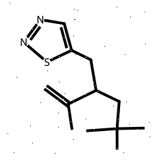 C=C(C)C(Cc1cnns1)CC(C)(C)C